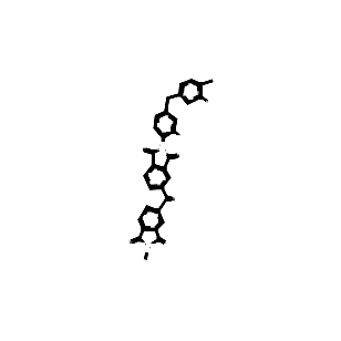 CCc1cc(Cc2ccc(N3C(=O)c4ccc(C(=O)c5ccc6c(c5)C(=O)N(C)C6=O)cc4C3=O)c(CC)c2)ccc1C